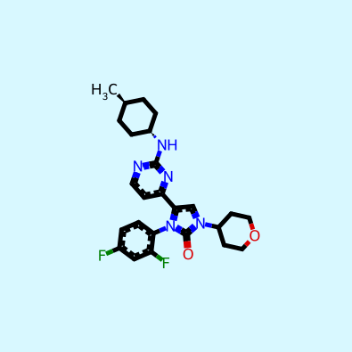 C[C@H]1CC[C@H](Nc2nccc(-c3cn(C4CCOCC4)c(=O)n3-c3ccc(F)cc3F)n2)CC1